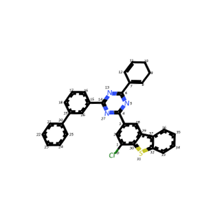 Clc1cc(-c2nc(C3=CCCC=C3)nc(-c3cccc(-c4ccccc4)c3)n2)cc2c1sc1ccccc12